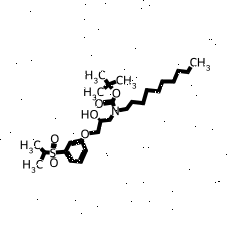 CCCCCCCCCCN(C[C@H](O)COc1cccc(S(=O)(=O)C(C)C)c1)C(=O)OC(C)(C)C